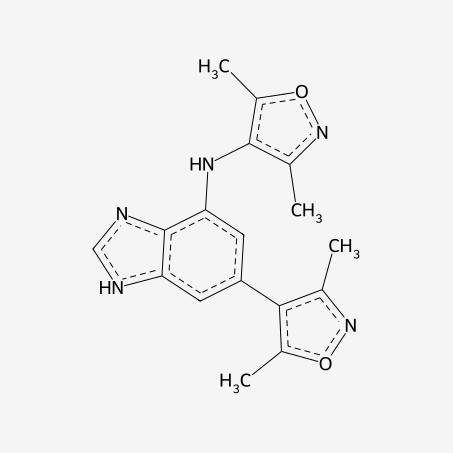 Cc1noc(C)c1Nc1cc(-c2c(C)noc2C)cc2[nH]cnc12